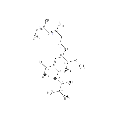 C/C=C(Cl)\C=C(/C)C/C=N/C(C=C(CNC(O)C(C)C)C(N)=O)C(C)CC